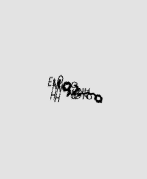 CCNC(=O)Nc1ccc2c(c1)N(C)C(=O)[C@@H](NC(=O)c1cc(CC3=CC=CCC3)on1)CO2